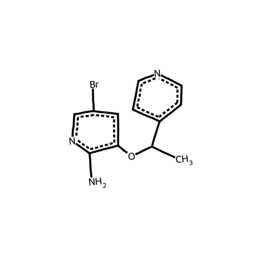 CC(Oc1cc(Br)cnc1N)c1ccncc1